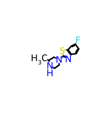 CC1CN(c2nc3ccc(F)cc3s2)CCN1